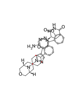 Nc1nnc(-c2ccccc2O)cc1-c1cnn(C2C[C@H]3COC[C@@H](C2)N3C2CCC(c3cccc4c3OCCN4[C@@H]3CCC(=O)NC3=O)CC2)c1